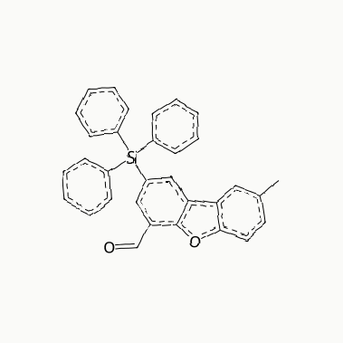 Cc1ccc2oc3c(C=O)cc([Si](c4ccccc4)(c4ccccc4)c4ccccc4)cc3c2c1